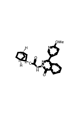 COc1ccc(-c2nn(NC(=O)C[C@H]3C[C@@H]4CC[C@H]3C4)c(=O)c3ccccc23)cn1